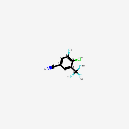 N#Cc1cc(F)c(Cl)c(C(F)(F)F)c1